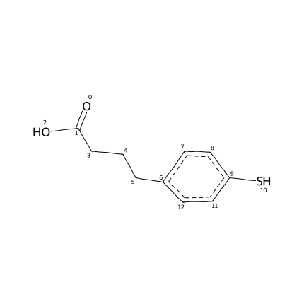 O=C(O)CCCc1ccc(S)cc1